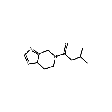 CC(C)CC(=O)N1CCC2N=CN=C2C1